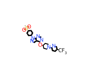 CS(=O)(=O)c1ccc(-n2ncc3c(OC4CCN(c5ccc(C(F)(F)F)cn5)CC4)ncnc32)cc1